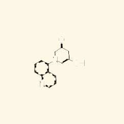 CC1=CN(c2cccc3ncccc23)CC(=O)C1